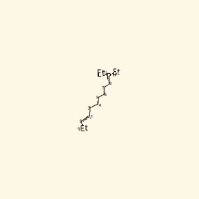 CC/C=C/CCCCCCP(CC)CC